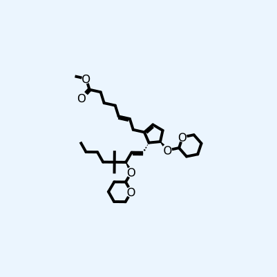 CCCCC(C)(C)[C@@H](C=C[C@@H]1C(CC=CCCCC(=O)OC)=CC[C@H]1OC1CCCCO1)OC1CCCCO1